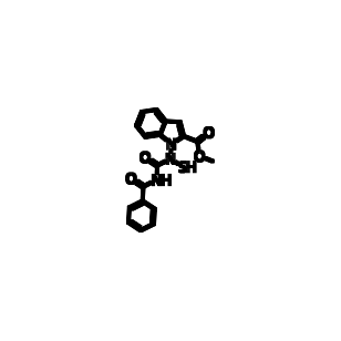 COC(=O)c1cc2ccccc2n1N(S)C(=O)NC(=O)c1ccccc1